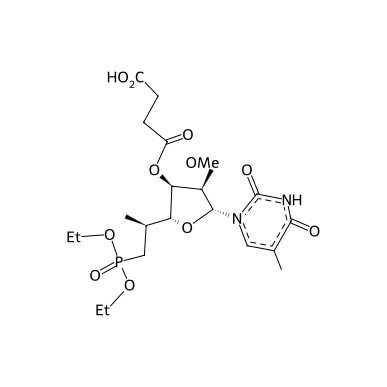 CCOP(=O)(C[C@@H](C)[C@H]1O[C@@H](n2cc(C)c(=O)[nH]c2=O)[C@H](OC)[C@@H]1OC(=O)CCC(=O)O)OCC